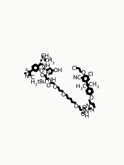 Cc1ncsc1-c1ccc([C@H](CN(C)C)NC(=O)[C@@H]2C[C@@H](O)CN2C(=O)[C@@H](NC(=O)COCCCOCCCCCOCCS(=O)(=O)Nc2nccc(COc3ccc(C(C)(C)c4cc(Cl)c(OCCCl)c(C#N)c4)cc3)n2)C(C)(C)C)cc1